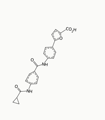 O=C(Nc1ccc(-c2ccc(C(=O)O)o2)cc1)c1ccc(NC(=O)C2CC2)cc1